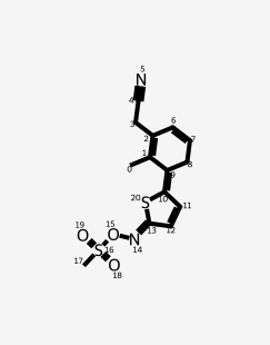 CC1=C(CC#N)C=CCC1=C1C=CC(=NOS(C)(=O)=O)S1